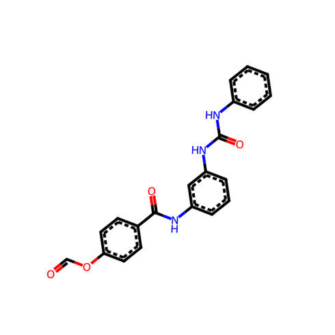 O=COc1ccc(C(=O)Nc2cccc(NC(=O)Nc3ccccc3)c2)cc1